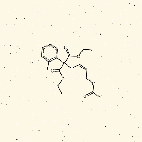 CCOC(=O)C(C/C=C\COC(C)=O)(C(=O)OCC)c1ccccc1I